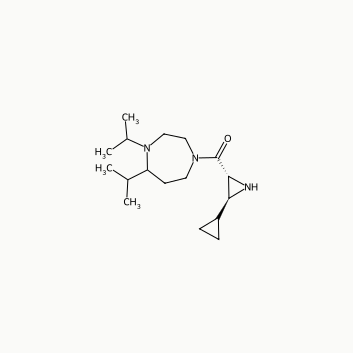 CC(C)C1CCN(C(=O)[C@@H]2N[C@H]2C2CC2)CCN1C(C)C